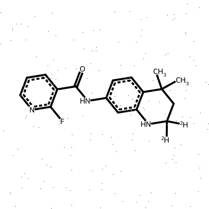 [2H]C1([2H])CC(C)(C)c2ccc(NC(=O)c3cccnc3F)cc2N1